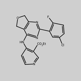 CCOC(=O)c1cnccc1Nc1nc(-c2cc(Cl)ccc2F)nc2c1COC2